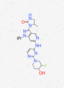 CC1CNC(=O)N1c1nn(C(C)C)c2cc(Nc3ccnc(N4CCC(O)C(F)C4)n3)ncc12